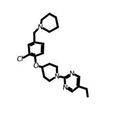 CCc1cnc(N2CCC(Oc3ccc(CN4CCCCC4)cc3Cl)CC2)nc1